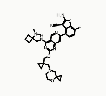 CN(C)C1(CNc2nc(OCC3(CN4CCOC5(CC5)C4)CC3)nc3cc(-c4ccc(F)c5sc(N)c(C#N)c45)ncc23)CCC1